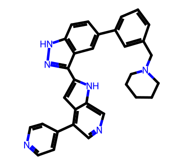 c1cc(CN2CCCCC2)cc(-c2ccc3[nH]nc(-c4cc5c(-c6ccncc6)cncc5[nH]4)c3c2)c1